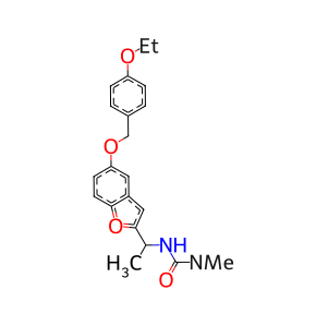 CCOc1ccc(COc2ccc3oc(C(C)NC(=O)NC)cc3c2)cc1